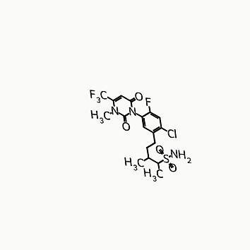 CC(CCc1cc(-n2c(=O)cc(C(F)(F)F)n(C)c2=O)c(F)cc1Cl)C(C)S(N)(=O)=O